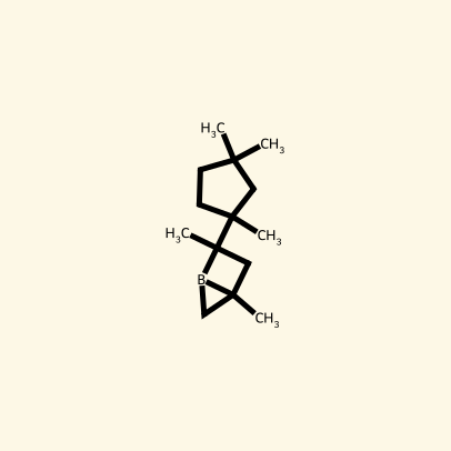 CC1(C)CCC(C)(C2(C)CC3(C)CB32)C1